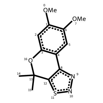 COc1cc2c(cc1OC)-c1nnsc1C(C)(C)O2